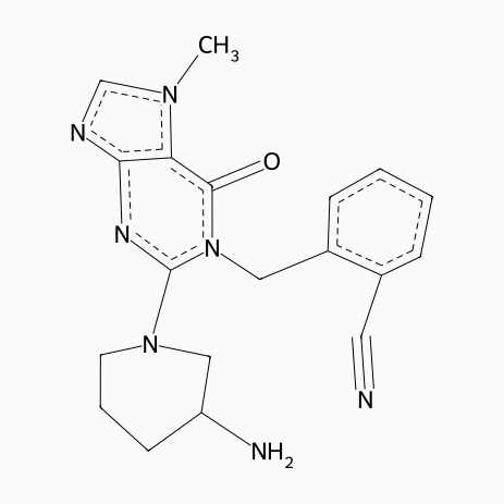 Cn1cnc2nc(N3CCCC(N)C3)n(Cc3ccccc3C#N)c(=O)c21